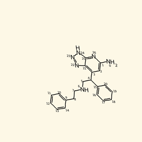 Nc1cc(C(CNCCc2ccccc2)c2ccccc2)c2nn[nH]c2n1